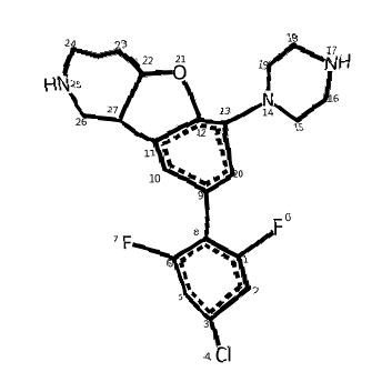 Fc1cc(Cl)cc(F)c1-c1cc2c(c(N3CCNCC3)c1)OC1CCNCC21